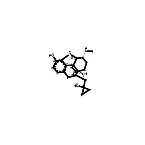 CN[C@@H]1CC[C@@]2(O)C3Cc4ccc(O)c5c4C2(CCN3CC2(O)CC2)[C@H]1O5